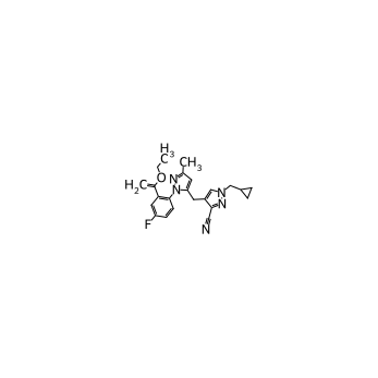 C=C(OCC)c1cc(F)ccc1-n1nc(C)cc1Cc1cn(CC2CC2)nc1C#N